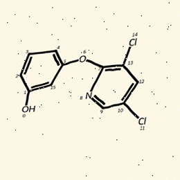 Oc1cccc(Oc2ncc(Cl)cc2Cl)c1